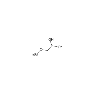 CCCCOC[C](O)C(C)C